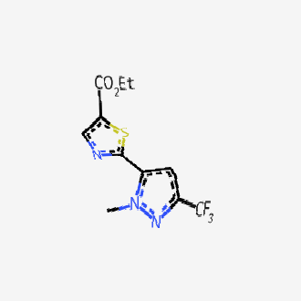 CCOC(=O)c1cnc(-c2cc(C(F)(F)F)nn2C)s1